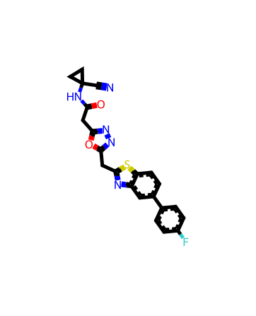 N#CC1(NC(=O)Cc2nnc(Cc3nc4cc(-c5ccc(F)cc5)ccc4s3)o2)CC1